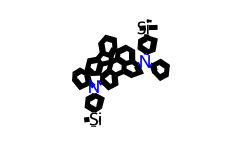 C[Si](C)(C)c1ccc(N(c2ccccc2)c2ccc3c(c2)C2(c4ccccc4-c4ccccc42)c2cccc4c(N(c5ccccc5)c5ccc([Si](C)(C)C)cc5)ccc-3c24)cc1